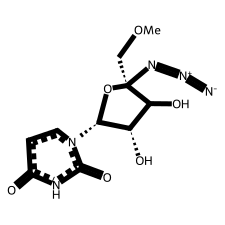 COC[C@@]1(N=[N+]=[N-])O[C@@H](n2ccc(=O)[nH]c2=O)[C@@H](O)C1O